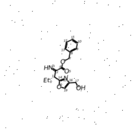 CC[C@H](C(=N)C(=O)OCc1ccccc1)c1nc(CO)co1